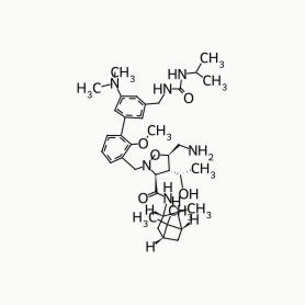 COc1c(CN2O[C@@H](CN)[C@H]([C@H](C)O)[C@H]2C(=O)N[C@H]2C[C@H]3C[C@@H]([C@@H]2C)C3(C)C)cccc1-c1cc(CNC(=O)NC(C)C)cc(N(C)C)c1